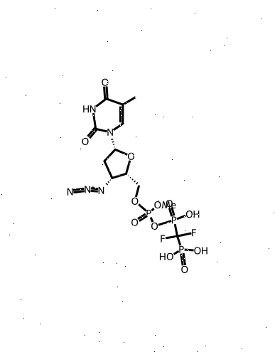 COP(=O)(OC[C@H]1O[C@@H](n2cc(C)c(=O)[nH]c2=O)C[C@H]1N=[N+]=[N-])OP(=O)(O)C(F)(F)P(=O)(O)O